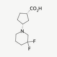 O=C(O)[C@H]1CC[C@@H](N2CCCC(F)(F)C2)C1